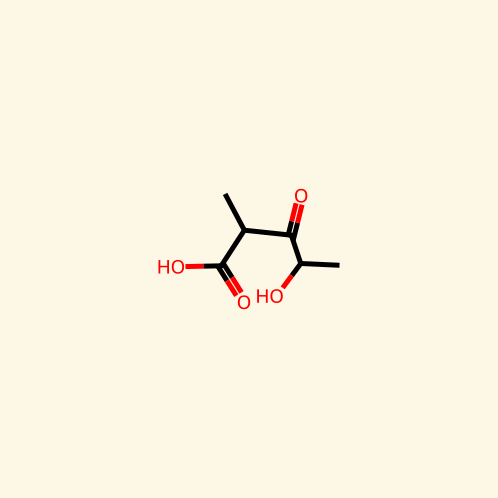 CC(O)C(=O)C(C)C(=O)O